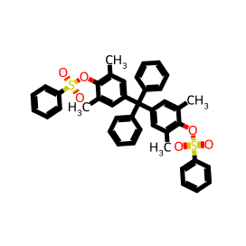 Cc1cc(C(c2ccccc2)(c2ccccc2)c2cc(C)c(OS(=O)(=O)c3ccccc3)c(C)c2)cc(C)c1OS(=O)(=O)c1ccccc1